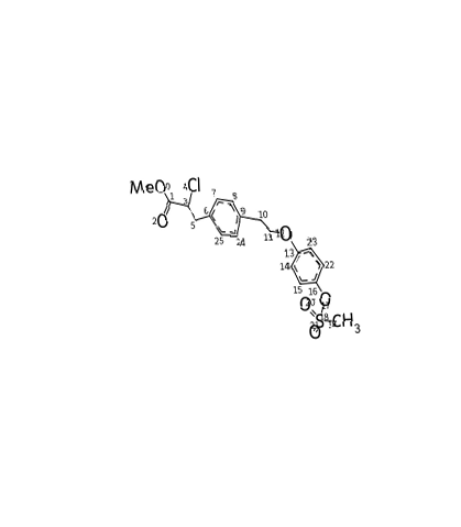 COC(=O)C(Cl)Cc1ccc(CCOc2ccc(OS(C)(=O)=O)cc2)cc1